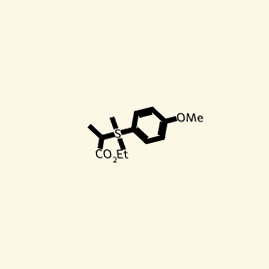 CCOC(=O)C(C)S(C)(C)c1ccc(OC)cc1